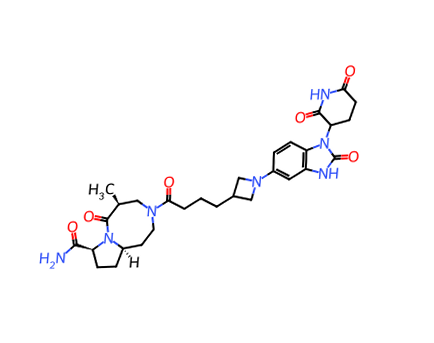 C[C@H]1CN(C(=O)CCCC2CN(c3ccc4c(c3)[nH]c(=O)n4C3CCC(=O)NC3=O)C2)CC[C@H]2CC[C@@H](C(N)=O)N2C1=O